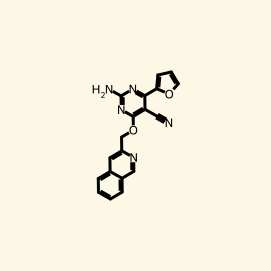 N#Cc1c(OCc2cc3ccccc3cn2)nc(N)nc1-c1ccco1